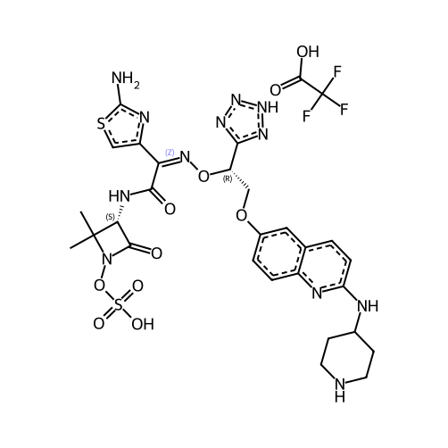 CC1(C)[C@H](NC(=O)/C(=N\O[C@@H](COc2ccc3nc(NC4CCNCC4)ccc3c2)c2nn[nH]n2)c2csc(N)n2)C(=O)N1OS(=O)(=O)O.O=C(O)C(F)(F)F